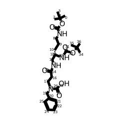 CC(C)(C)OC(=O)NCCC[C@@H](CNC(=O)CCN(Cc1ccccc1)C(=O)O)NC(=O)OC(C)(C)C